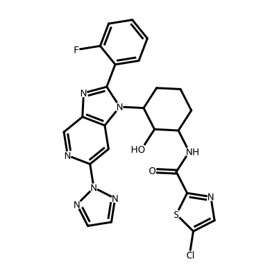 O=C(NC1CCCC(n2c(-c3ccccc3F)nc3cnc(-n4nccn4)cc32)C1O)c1ncc(Cl)s1